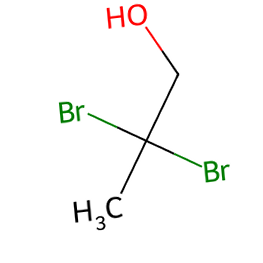 CC(Br)(Br)CO